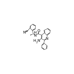 C[C@H](NC(=O)c1c(N)c(-c2ccccc2)nc2ccccc12)c1ccccc1C#N